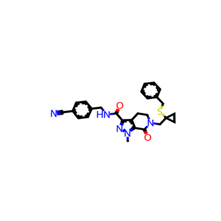 Cn1nc(C(=O)NCc2ccc(C#N)cc2)c2c1C(=O)N(CC1(SCc3ccccc3)CC1)CC2